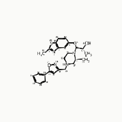 Cc1nc2cc(OC([C@@H](C)O)N3CCN(Cc4cc(-c5ccccc5)on4)C[C@@H]3C)ccc2s1